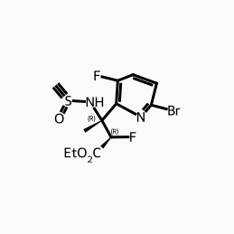 C#S(=O)N[C@](C)(c1nc(Br)ccc1F)[C@@H](F)C(=O)OCC